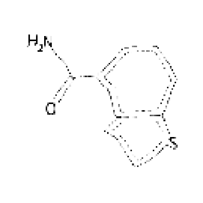 NC(=O)c1cccc2sccc12